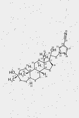 C[C@]1(O)CC[C@@H]2CC[C@@H]3[C@H](CC[C@@]4(C)[C@H]3CC[C@@H]4[C@@](C)(O)Cn3cc(C#N)cn3)[C@@]2(C)CC1